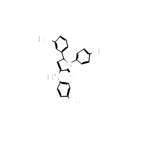 Cc1ccc(NC2=CC(c3cccc(O)c3)N(c3ccc(C(F)(F)F)cc3)C2=O)cc1